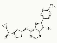 CCn1c(-c2ccc(C(F)(F)F)nc2)nc2c(O[C@H]3CCN(C(=O)C4CC4)C3)ncnc21